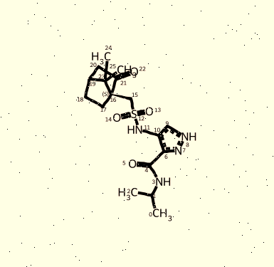 CC(C)NC(=O)c1n[nH]cc1NS(=O)(=O)C[C@]12CCC(CC1=O)C2(C)C